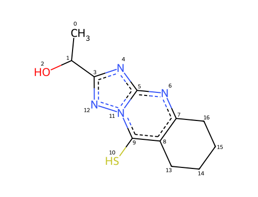 CC(O)c1nc2nc3c(c(S)n2n1)CCCC3